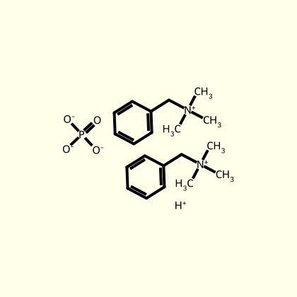 C[N+](C)(C)Cc1ccccc1.C[N+](C)(C)Cc1ccccc1.O=P([O-])([O-])[O-].[H+]